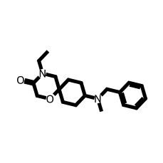 CCN1CC2(CCC(N(C)Cc3ccccc3)CC2)OCC1=O